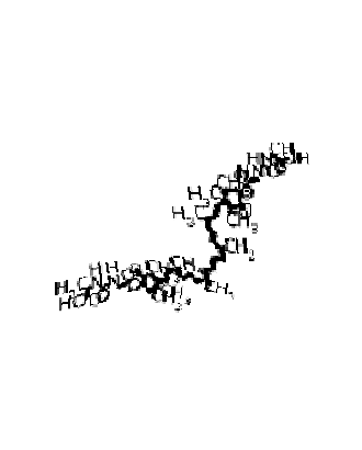 CC(C=CC=C(C)C=CC1=C(C)C(=O)C(OC(=O)CNC(=O)NC(C)C(=O)O)CC1(C)C)=CC=CC=C(C)C=CC=C(C)C=CC1=C(C)C(=O)C(OC(=O)CNC(=O)NC(C)C(=O)O)CC1(C)C